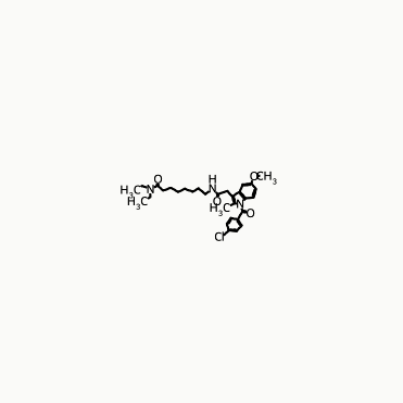 CCN(CC)C(=O)CCCCCCCNC(=O)Cc1c(C)n(C(=O)c2ccc(Cl)cc2)c2ccc(OC)cc12